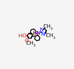 COc1cc(C2(P3(=O)CCCCC3)CCCCC2Nc2nc(C)cc(C)n2)ccc1O